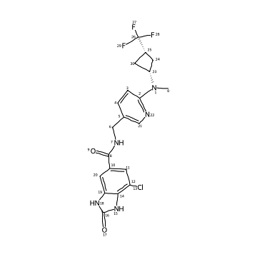 CN(c1ccc(CNC(=O)c2cc(Cl)c3[nH]c(=O)[nH]c3c2)cn1)[C@H]1C[C@@H](C(F)(F)F)C1